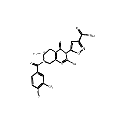 CNC(=O)c1cc(-n2c(Cl)nc3c(c2=O)C[C@@H](C)N(C(=O)c2ccc(Cl)c(C(F)(F)F)c2)C3)on1